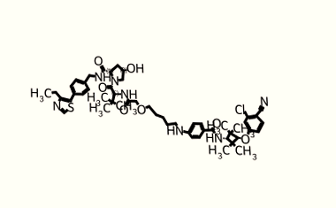 CCc1ncsc1-c1ccc(CNC(=O)[C@@H]2C[C@@H](O)CN2C(=O)[C@@H](NC(=O)COCCCCCNc2ccc(C(=O)N[C@H]3C(C)(C)[C@H](Oc4ccc(C#N)c(Cl)c4)C3(C)C)cc2)C(C)(C)C)cc1